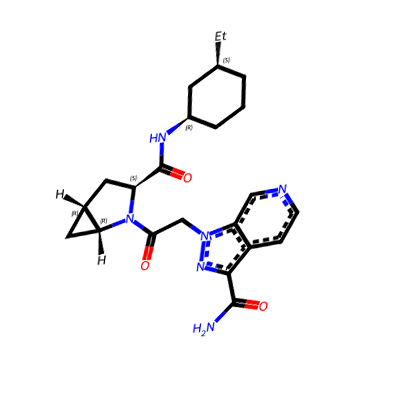 CC[C@H]1CCC[C@@H](NC(=O)[C@@H]2C[C@H]3C[C@H]3N2C(=O)Cn2nc(C(N)=O)c3ccncc32)C1